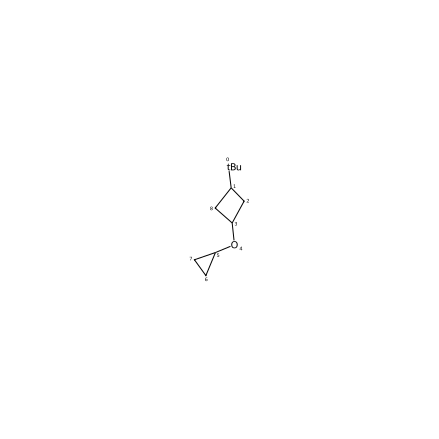 CC(C)(C)C1CC(OC2CC2)C1